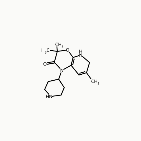 CC1=CC2=C(NC1)OC(C)(C)C(=O)N2C1CCNCC1